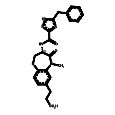 CN1C(=O)[C@@H](NC(=O)c2n[nH]c(Cc3ccccc3)n2)COc2ccc(CCC(=O)O)cc21